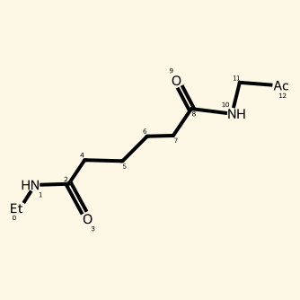 CCNC(=O)CCCCC(=O)NCC(C)=O